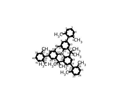 Cc1cccc(C)c1-c1cc2c3c(c1)C(C)(C)c1cc(-c4c(C)cccc4C)cc4c1N3c1c(cc(-c3c(C)cccc3C)cc1C4(C)C)S2